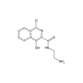 NCCNC(=O)c1nc(Cl)c2ccccc2c1O